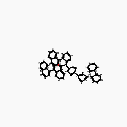 c1cc(-c2ccc(N(c3ccccc3-c3cccc4ccccc34)c3ccc(-c4cccc5ccccc45)c4ccccc34)cc2)cc(-n2c3ccccc3c3ccccc32)c1